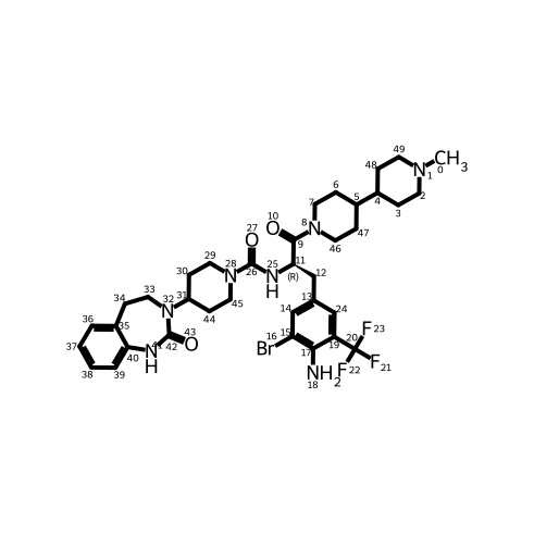 CN1CCC(C2CCN(C(=O)[C@@H](Cc3cc(Br)c(N)c(C(F)(F)F)c3)NC(=O)N3CCC(N4CCc5ccccc5NC4=O)CC3)CC2)CC1